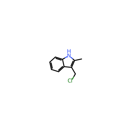 Cc1[nH]c2ccccc2c1CCl